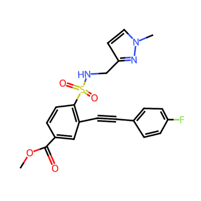 COC(=O)c1ccc(S(=O)(=O)NCc2ccn(C)n2)c(C#Cc2ccc(F)cc2)c1